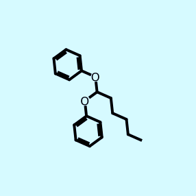 CCCCCC(Oc1ccccc1)Oc1ccccc1